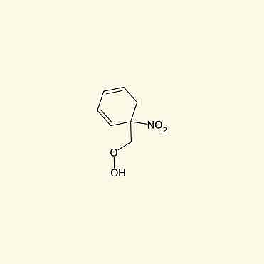 O=[N+]([O-])C1(COO)C=CC=CC1